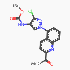 COC(=O)c1ccc2c(-n3cc(NC(=O)OC(C)(C)C)c(Cl)n3)cccc2n1